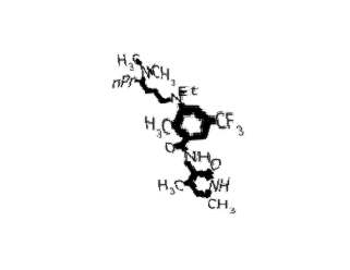 CCC[C@H](CCCN(CC)c1cc(C(F)(F)F)cc(C(=O)NCc2c(C)cc(C)[nH]c2=O)c1C)N(C)C